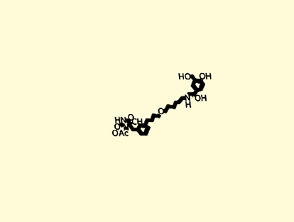 CC(=O)ON1C(=O)NC(=O)[C@]1(C)Cc1cccc(CCCCOCCCCCCNC[C@@H](O)c2ccc(O)c(CO)c2)c1